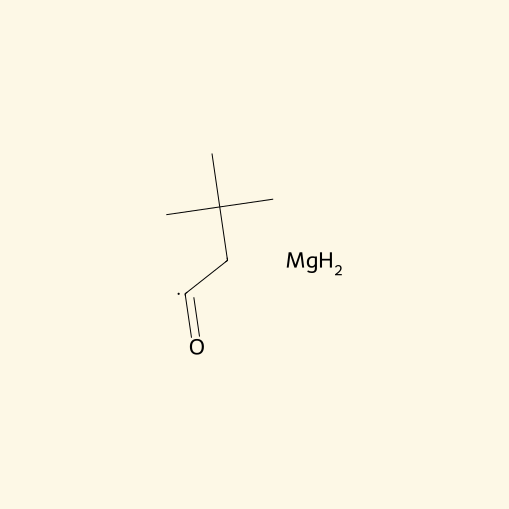 CC(C)(C)C[C]=O.[MgH2]